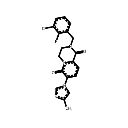 Cc1cn(-c2ccc3n(c2=O)CCN(Cc2cccc(Cl)c2F)C3=O)cn1